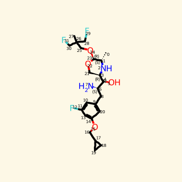 C[C@@H]1N[C@@H]([C@@H](O)[C@@H](N)Cc2cc(F)cc(OCC3CC3)c2)CO[C@H]1OCC(C)(CF)CF